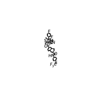 CC(SC1COC(c2ccc3cc(C(=O)Nc4ccc(SC(F)(F)F)cc4)ccc3c2)OC1)C(O)(CN1CN=CN1)c1ccc(F)cc1F